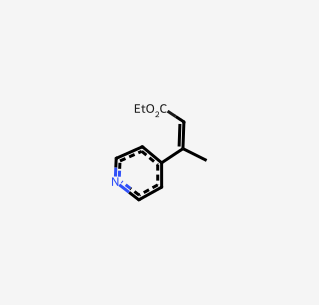 CCOC(=O)/C=C(/C)c1ccncc1